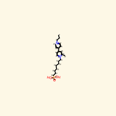 CCC[n+]1ccc(-c2cc[n+](CCCCCCCCP(=O)(O)O)c(C)c2)cc1